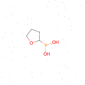 OP(O)C1CCCO1